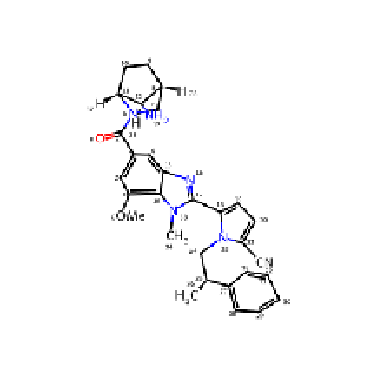 COc1cc(C(=O)N2C[C@H]3CC[C@@H]2[C@@H]3N)cc2nc(-c3ccc(C#N)n3C[C@H](C)c3ccccc3)n(C)c12